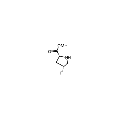 COC(=O)[C@@H]1C[C@@H](F)CN1